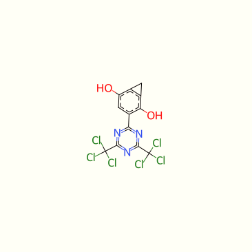 Oc1cc(-c2nc(C(Cl)(Cl)Cl)nc(C(Cl)(Cl)Cl)n2)c(O)c2c1C2